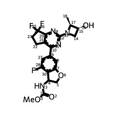 COC(=O)NC1COc2cc(-c3nc(N4C[C@@H](O)[C@@H]4C)nc4c3CCC4(F)F)cc(F)c21